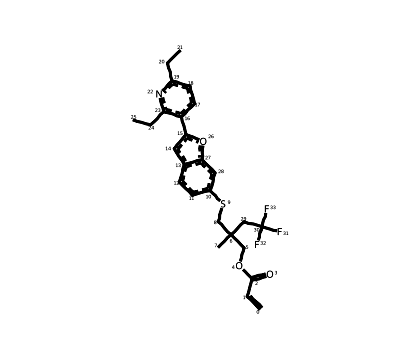 C=CC(=O)OCC(C)(CSc1ccc2cc(-c3ccc(CC)nc3CC)oc2c1)CC(F)(F)F